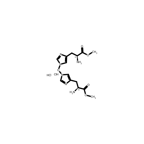 COC(=O)[C@@H](N)Cc1cn(On2cnc(C[C@H](N)C(=O)OC)c2)cn1.Cl.Cl